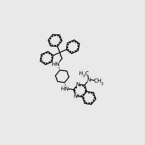 CN(C)c1nc(N[C@H]2CC[C@@H](NCC(c3ccccc3)(c3ccccc3)c3ccccc3)CC2)nc2ccccc12